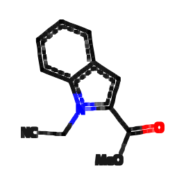 COC(=O)c1cc2ccccc2n1CC#N